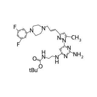 Cc1cc(C=CCN2CCN(c3cc(F)cc(F)c3)CC2)nn1-c1cc(NCCNC(=O)OC(C)(C)C)nc(N)n1